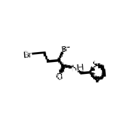 O=C(NCc1cccs1)C(Br)CCBr